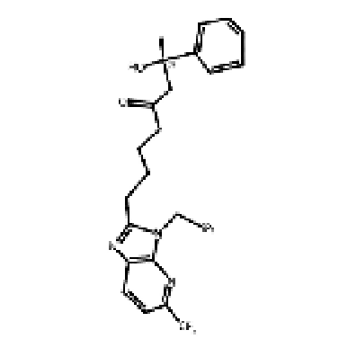 CC(C)Cn1c(CCCCC(=O)C[C@](C)(O)c2ccccc2)nc2ccc(C(F)(F)F)nc21